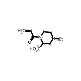 C=CC(=O)N1CCN(CC)CC1C(=O)O